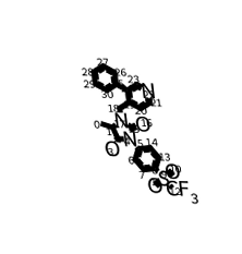 CC1C(=O)N(c2ccc(S(=O)(=O)C(F)(F)F)cc2)C(=O)N1Cc1ccncc1-c1ccccc1